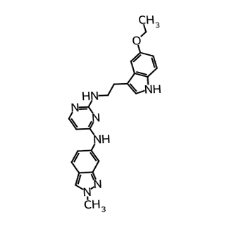 CCOc1ccc2[nH]cc(CCNc3nccc(Nc4ccc5cn(C)nc5c4)n3)c2c1